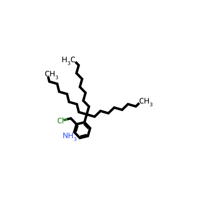 CCCCCCCCC(CCCCCCCC)(CCCCCCCC)c1ccccc1CCl.N